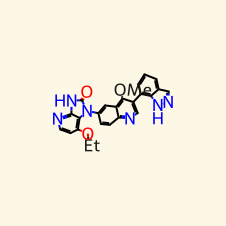 CCOc1ccnc2[nH]c(=O)n(-c3ccc4ncc(-c5cccc6cn[nH]c56)c(OC)c4c3)c12